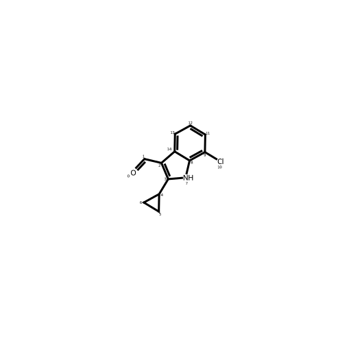 O=Cc1c(C2CC2)[nH]c2c(Cl)cccc12